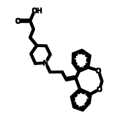 O=C(O)CCC1CCN(CCC=C2c3ccccc3OCOc3ccccc32)CC1